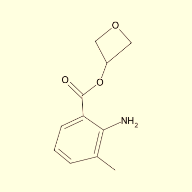 Cc1cccc(C(=O)OC2COC2)c1N